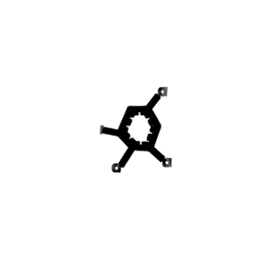 Clc1cc(Cl)c(Cl)c(I)c1